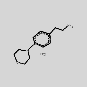 Cl.NCCc1ccc(N2CCOCC2)cc1